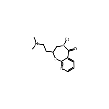 CCN1CC(CCN(C)C)Oc2ncccc2C1=O